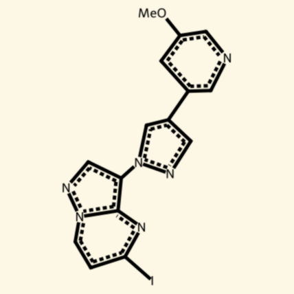 COc1cncc(-c2cnn(-c3cnn4ccc(I)nc34)c2)c1